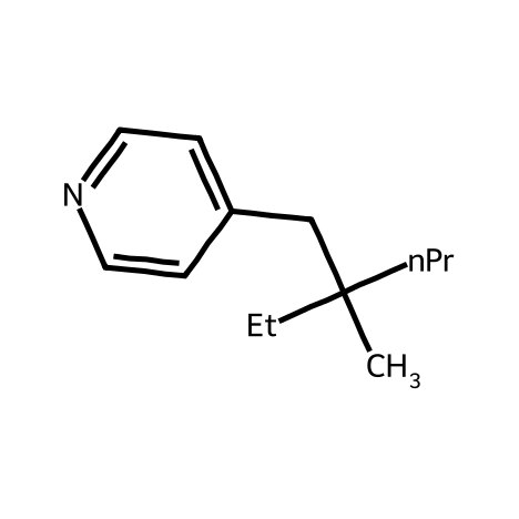 CCCC(C)(CC)Cc1ccncc1